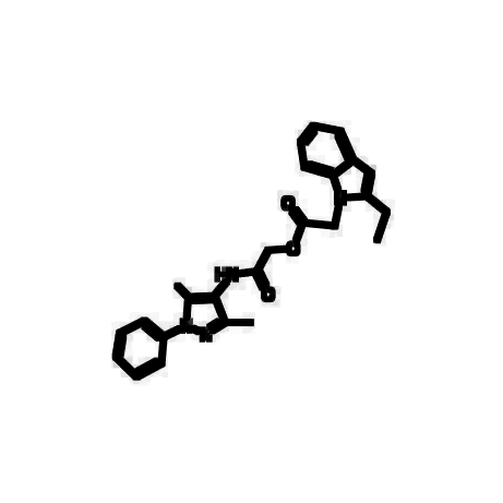 CCc1cc2ccccc2n1CC(=O)OCC(=O)Nc1c(C)nn(-c2ccccc2)c1C